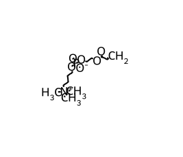 C=CC(=O)OCCOP(=O)([O-])OCCCC[N+](C)(C)C